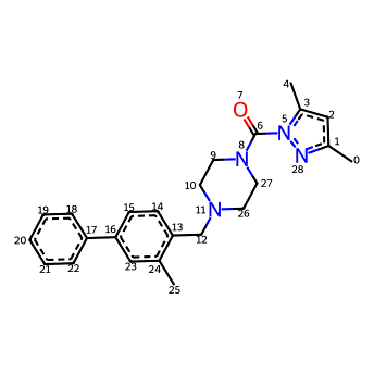 Cc1cc(C)n(C(=O)N2CCN(Cc3ccc(-c4ccccc4)cc3C)CC2)n1